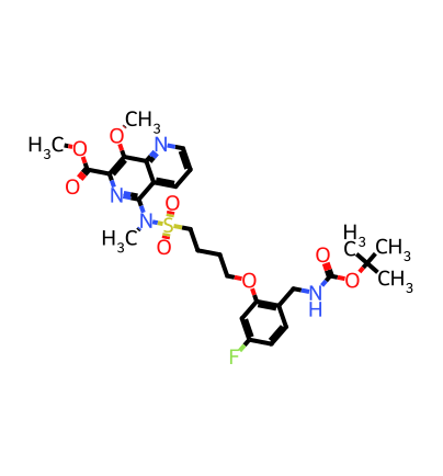 COC(=O)c1nc(N(C)S(=O)(=O)CCCCOc2cc(F)ccc2CNC(=O)OC(C)(C)C)c2cccnc2c1OC